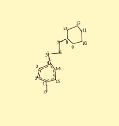 Cc1ccc([CH]CCC2CCCCC2)cc1